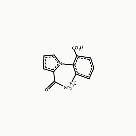 NC(=O)c1cccn1-c1c(C(=O)O)cccc1C(F)(F)F